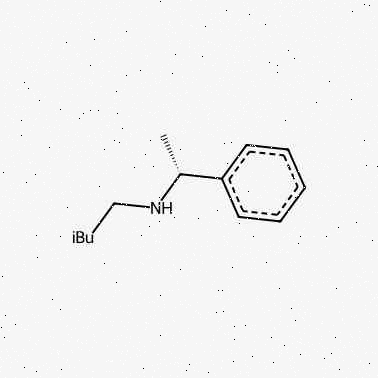 CCC(C)CN[C@H](C)c1ccccc1